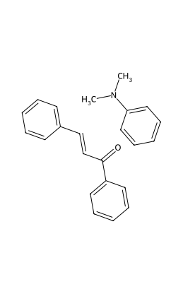 CN(C)c1ccccc1.O=C(C=Cc1ccccc1)c1ccccc1